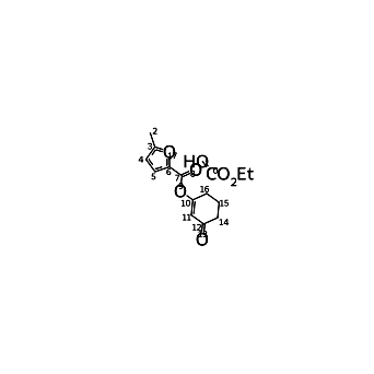 CCOC(=O)O.Cc1ccc(C(=O)OC2=CC(=O)CCC2)o1